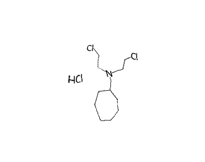 Cl.ClCCN(CCCl)C1CCCCCC1